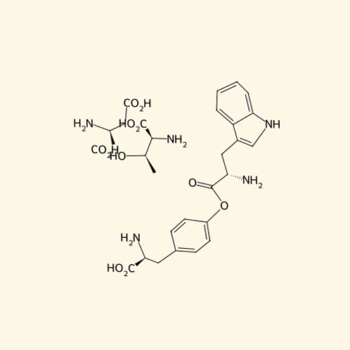 C[C@@H](O)[C@H](N)C(=O)O.N[C@@H](CC(=O)O)C(=O)O.N[C@@H](Cc1ccc(OC(=O)[C@@H](N)Cc2c[nH]c3ccccc23)cc1)C(=O)O